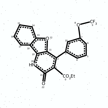 CCOC(=O)c1c(-c2cccc(OC(F)(F)F)c2)c2oc3ccccc3c2[nH]c1=O